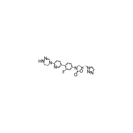 O=C1O[C@@H](Cn2ccnn2)CN1c1ccc(-c2ccc(N3C=NNCC3)nc2)c(F)c1